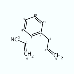 C=CC#N.C=CCc1ccccc1